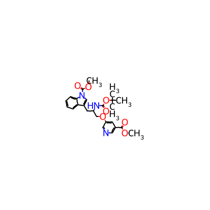 COC(=O)c1cncc(OCC(Cc2cn(C(=O)OC)c3ccccc23)NC(=O)OC(C)(C)C)c1